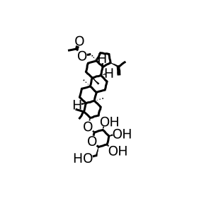 C=C(C)[C@@H]1CC[C@]2(COC(C)=O)CC[C@]3(C)[C@H](CCC4[C@@]5(C)CC[C@H](O[C@@H]6O[C@H](CO)[C@@H](O)[C@H](O)[C@H]6O)C(C)(C)[C@@H]5CC[C@]43C)[C@@H]12